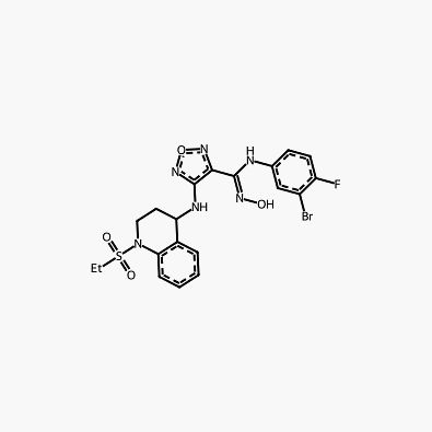 CCS(=O)(=O)N1CCC(Nc2nonc2/C(=N/O)Nc2ccc(F)c(Br)c2)c2ccccc21